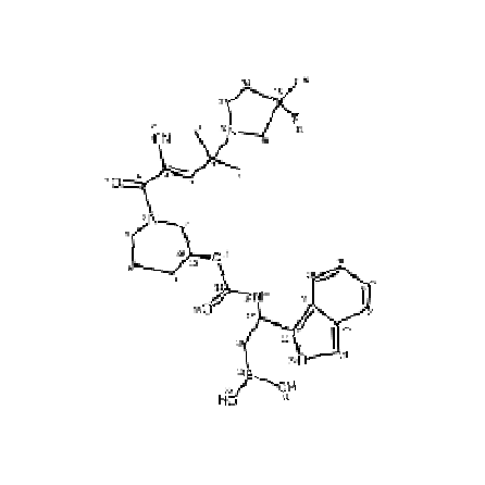 CC(C)(C=C(C#N)C(=O)N1CCC[C@H](OC(=O)NC(CB(O)O)c2occ3ccccc23)C1)N1CCC(F)(F)C1